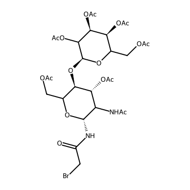 CC(=O)NC1[C@H](NC(=O)CBr)OC(COC(C)=O)[C@@H](O[C@@H]2OC(COC(C)=O)[C@H](OC(C)=O)[C@H](OC(C)=O)C2OC(C)=O)[C@@H]1OC(C)=O